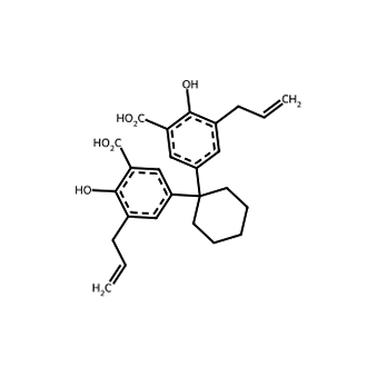 C=CCc1cc(C2(c3cc(CC=C)c(O)c(C(=O)O)c3)CCCCC2)cc(C(=O)O)c1O